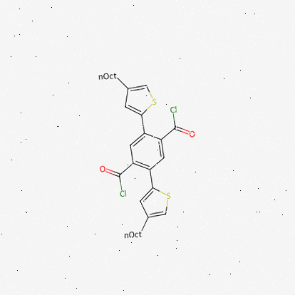 CCCCCCCCc1csc(-c2cc(C(=O)Cl)c(-c3cc(CCCCCCCC)cs3)cc2C(=O)Cl)c1